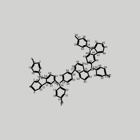 Cc1ccc(-n2c3ccccc3c3cc(N(c4ccc(F)cc4)c4ccc(-c5cccc6c(N(c7ccc(F)cc7)c7ccc8c(c7)c7ccccc7n8-c7ccc(C)cc7)cccc56)cc4)ccc32)cc1